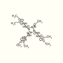 CCCCOC(=O)CN1CCN(CC(=O)NCCNC(=O)c2cccc(OCCCC)c2OCCCC)CCN(CC(=O)NCCNC(=O)c2cccc(OCCCC)c2OCCCC)CCN(CC(=O)NCCNC(=O)c2cccc(OCCCC)c2OCCCC)CC1